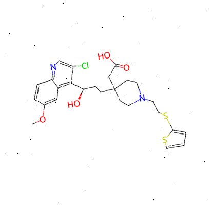 COc1ccc2ncc(Cl)c([C@H](O)CCC3(CC(=O)O)CCN(CCSc4cccs4)CC3)c2c1